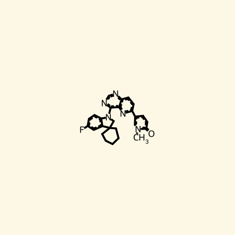 Cn1cc(-c2ccc3ncnc(N4CC5(CCCCC5)c5cc(F)ccc54)c3n2)ccc1=O